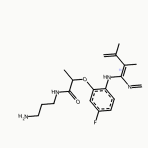 C=N/C(Nc1ccc(F)cc1OC(C)C(=O)NCCCN)=C(\C)C(=C)C